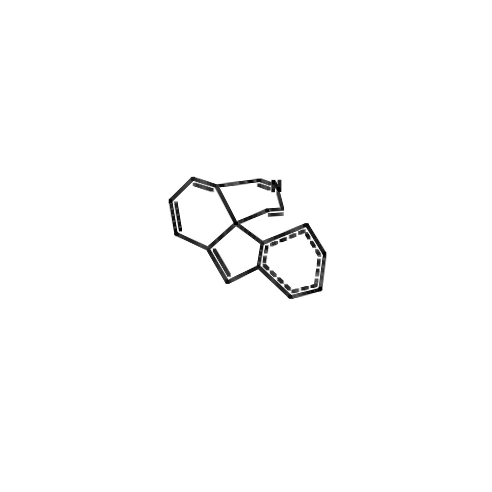 C1=CC2=Cc3ccccc3C23C=CN=CC3=C1